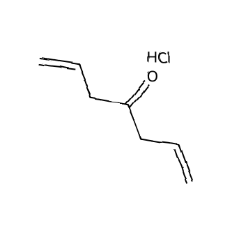 C=CCC(=O)CC=C.Cl